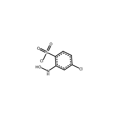 O=S(=O)(Cl)c1ccc(Cl)cc1NO